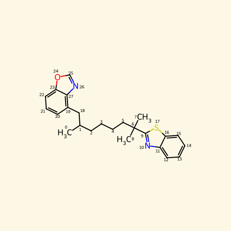 CC(CCCCC(C)(C)c1nc2ccccc2s1)Cc1cccc2ocnc12